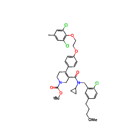 COCCCc1ccc(Cl)c(CN(C(=O)C2=C(c3ccc(OCCOc4c(Cl)cc(C)cc4Cl)cc3)CCN(C(=O)OC(C)(C)C)C2)C2CC2)c1